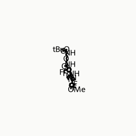 COc1ccc(-c2cnc3c(Nc4ccc(C(=O)NCCOCCNC(=O)OC(C)(C)C)c(CC(F)F)c4)nccn23)c(F)c1F